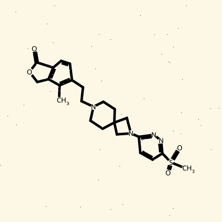 Cc1c(CCN2CCC3(CC2)CN(c2ccc(S(C)(=O)=O)nn2)C3)ccc2c1COC2=O